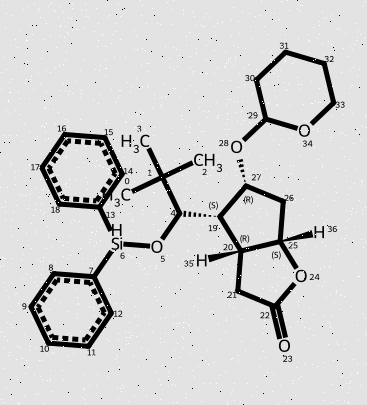 CC(C)(C)C(O[SiH](c1ccccc1)c1ccccc1)[C@H]1[C@H]2CC(=O)O[C@H]2C[C@H]1OC1CCCCO1